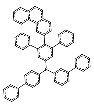 c1ccc(-c2ccc(N(c3cccc(-c4ccccc4)c3)c3cc(-c4ccccc4)c(-c4ccc5ccc6ccccc6c5c4)c(-c4ccccc4)c3)cc2)cc1